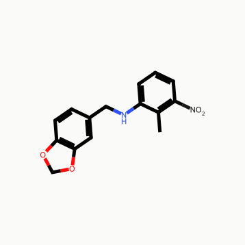 Cc1c(NCc2ccc3c(c2)OCO3)cccc1[N+](=O)[O-]